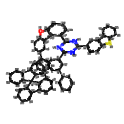 c1ccc(-c2cccc(-c3nc(-c4ccc5sc6ccccc6c5c4)nc(-c4cccc5oc6ccc(-c7ccc(-c8cccc9c8C8(c%10ccccc%10-c%10ccccc%108)c8ccccc8-9)cc7)cc6c45)n3)c2)cc1